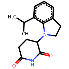 CC(C)c1cccc2c1N(C1CCC(=O)NC1=O)CC2